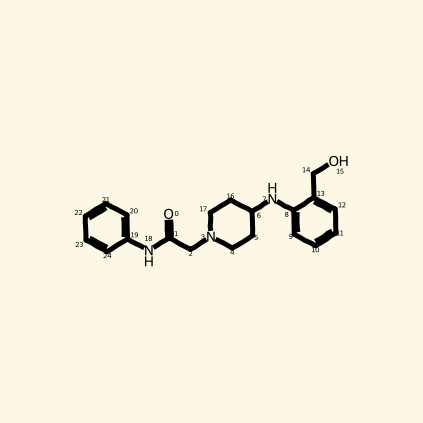 O=C(CN1CCC(Nc2ccccc2CO)CC1)Nc1ccccc1